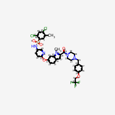 Cc1cc(S(=O)(=O)Nc2ccc(Oc3ccc4cc(C(=O)N5CCN(Cc6ccc(OCC(F)(F)F)cc6)CC5)n(C)c4c3)nc2)c(Cl)cc1Cl